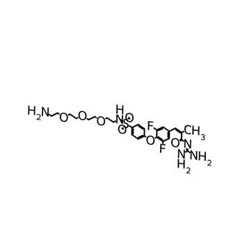 CC(=Cc1cc(F)c(Oc2ccc(S(=O)(=O)NCCOCCOCCOCCN)cc2)c(F)c1)C(=O)N=C(N)N